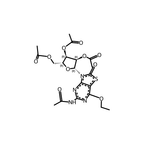 CCOc1nc(NC(C)=O)nc2c1sc(=O)n2[C@@H]1O[C@H](COC(C)=O)[C@@H](OC(C)=O)[C@H]1OC(C)=O